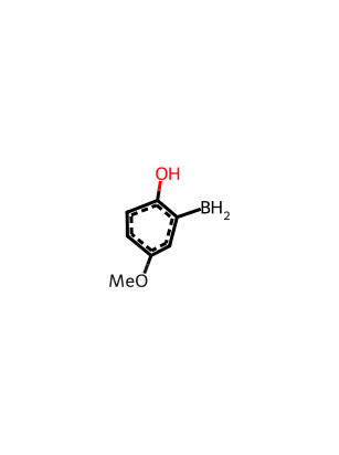 Bc1cc(OC)ccc1O